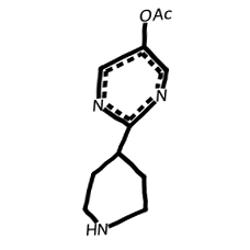 CC(=O)Oc1cnc(C2CCNCC2)nc1